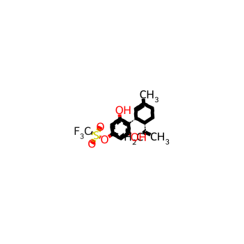 C=C(C)[C@H]1CCC(C)=C[C@H]1c1c(O)cc(OS(=O)(=O)C(F)(F)F)cc1O